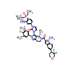 CCP(=O)(CC)c1ccc(-n2ccn(-c3c4c(nn3-c3cc(C)c(F)c(C)c3)CCN(C(=O)c3cc5cc(C6CCOCC6(F)F)ccc5n3C)[C@H]4C)c2=O)cc1NC